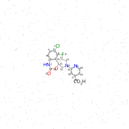 O=C1Nc2ccc(Cl)c(F)c2[C@]2(CCN(c3cc(C(=O)O)ccn3)C2)O1